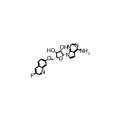 Nc1ncnc2c1ccn2[C@@H]1O[C@H](COc2ccc3cc(F)cnc3c2)[C@@H](O)[C@H]1O